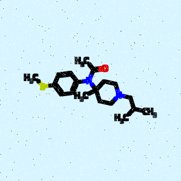 CSc1ccc(N(C(C)=O)C2(C)CCN(C[C](C)C)CC2)cc1